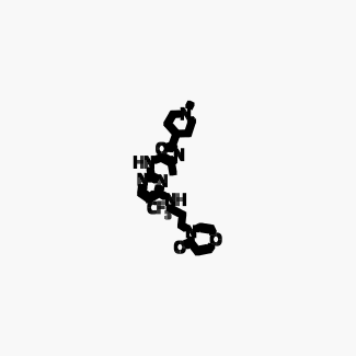 Cc1nc(C2CCN(C)CC2)oc1Nc1ncc(C(F)(F)F)c(NCCCN2C=COC=CC2=O)n1